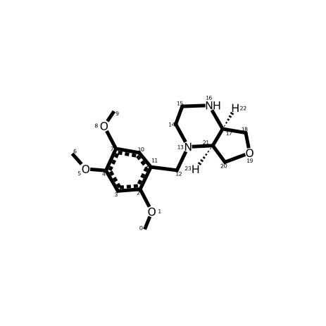 COc1cc(OC)c(OC)cc1CN1CCN[C@H]2COC[C@H]21